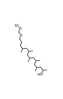 CCOCOCCCC(C)CC(C)CC(C)CC(C)CC(C)CC(C)O